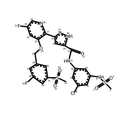 CS(=O)(=O)Nc1cc(Cl)cc(NC(=O)c2cc(-c3ncc(F)cc3OCc3cc(F)cc(S(C)(=O)=O)c3)n[nH]2)c1